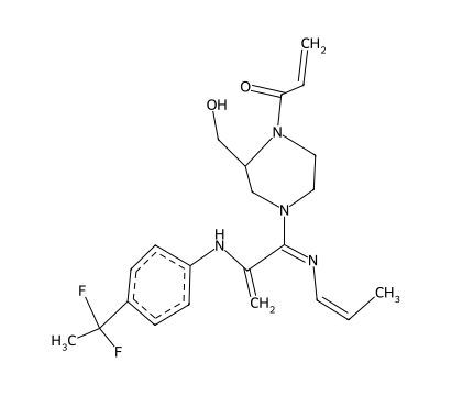 C=CC(=O)N1CCN(/C(=N/C=C\C)C(=C)Nc2ccc(C(C)(F)F)cc2)CC1CO